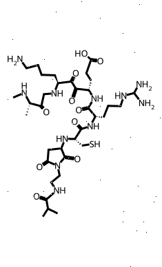 CN[C@@H](C)C(=O)CN[C@@H](CCCCN)C(=O)C(=O)[C@H](CCC(=O)O)NC(=O)[C@H](CCCNC(N)N)NC(=O)[C@H](CS)NC1CC(=O)N(CCNC(=O)C(C)C)C1=O